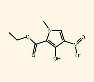 CCOC(=O)c1c(O)c([N+](=O)[O-])cn1C